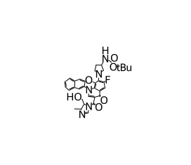 CC1N=CN(C(=O)c2cn3c4c(c(N5CCC(NC(=O)OC(C)(C)C)C5)c(F)cc4c2=O)Oc2cc4ccccc4cc2-3)C1CO